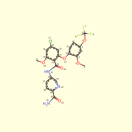 COc1cc(OC(F)(F)F)ccc1Oc1cc(Cl)cc(OC)c1C(=O)Nc1ccc(C(N)=O)nc1